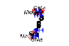 COC(=O)N[C@H](C(=O)N1CCC[C@H]1c1ncc(-c2ccc3cc(-c4ccc5nc([C@@H]6COCCN6C(=O)[C@@H](NC(=O)OC)[C@@H](C)OC)[nH]c5c4)ccc3c2)[nH]1)[C@@H](C)OC